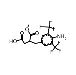 COC(=O)C(CC(=O)O)Cc1cc(C(F)(F)F)c(N)c(C(F)(F)F)c1